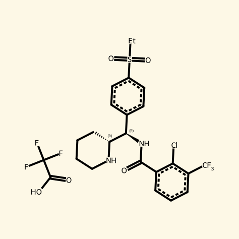 CCS(=O)(=O)c1ccc([C@@H](NC(=O)c2cccc(C(F)(F)F)c2Cl)[C@H]2CCCCN2)cc1.O=C(O)C(F)(F)F